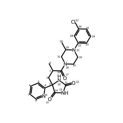 CC(CC1(c2ccccn2)NC(=O)NC1=O)C(=O)N1CCN(c2cccc(Cl)c2)C(C)C1